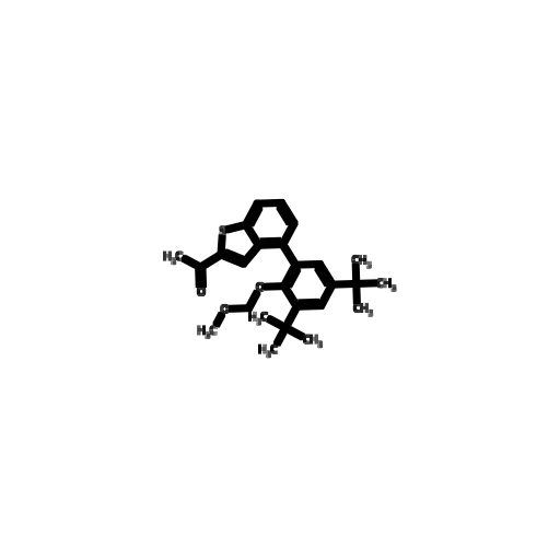 COCOc1c(-c2cccc3sc(C(C)=O)cc23)cc(C(C)(C)C)cc1C(C)(C)C